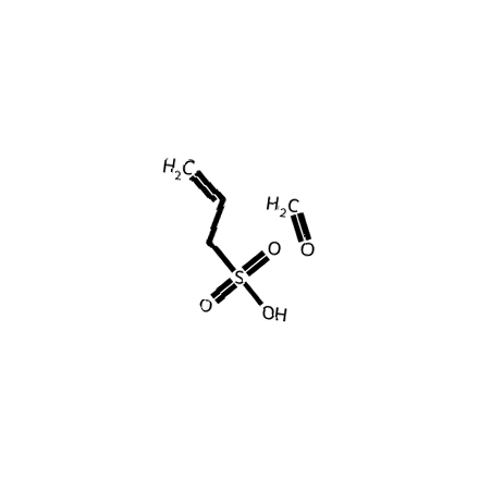 C=CCS(=O)(=O)O.C=O